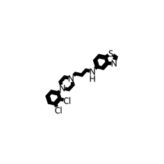 Clc1cccc(N2CCN(CCCNc3ccc4scnc4c3)CC2)c1Cl